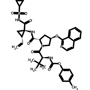 C=C[C@@H]1C[C@]1(NC(=O)[C@@H]1C[C@@H](Oc2nccc3ccccc23)CN1C(=O)[C@@H](NC(=O)Oc1ccc(C)cc1)C(C)(C)C)C(=O)NS(=O)(=O)C1CC1